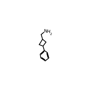 NCC1CC(c2ccccc2)C1